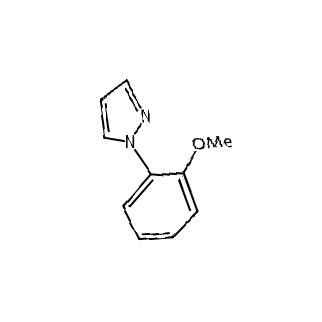 COc1ccccc1-n1cccn1